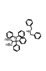 CCCCC(CCCC)C(c1ccccc1)(c1ccccc1)N(c1ccccc1)c1ccccc1.CN(Cc1ccccc1)Cc1ccccc1